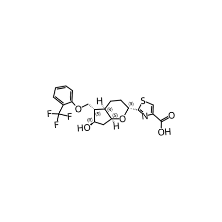 O=C(O)c1csc([C@H]2CC[C@@H]3[C@@H](COc4ccccc4C(F)(F)F)[C@H](O)C[C@@H]3O2)n1